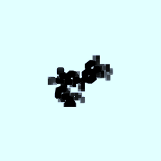 CC(C)n1c(=O)c2cnc(Nc3ccc4c(c3)CCNC4(C)C)nc2n1-c1ccnc(C2(C)CC2)n1